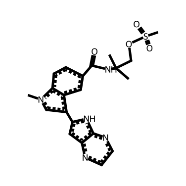 Cn1cc(-c2cc3nccnc3[nH]2)c2cc(C(=O)NC(C)(C)COS(C)(=O)=O)ccc21